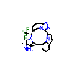 C[C@]1(N)CN2C3=C1C3c1cccc3ccc(nc13)-c1nnc3ccc(cn13)[C@@H]2C(F)(F)F